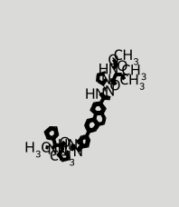 COC(=O)N[C@H](C(=O)N1CCC[C@H]1c1ncc(-c2ccc3c(c2)CCc2cc(-c4ccc5nc([C@@H]6CCCN6C(=O)C(c6ccccc6)N(C)C)[nH]c5c4)ccc2-3)[nH]1)C(C)C